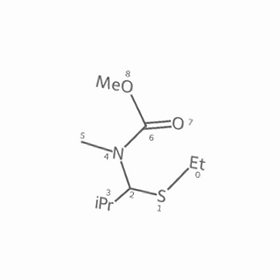 CCSC(C(C)C)N(C)C(=O)OC